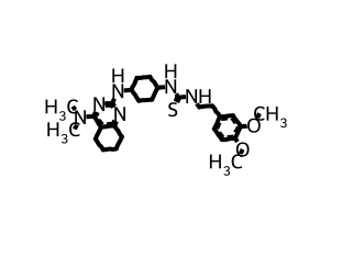 COc1ccc(CCNC(=S)NC2CCC(Nc3nc4c(c(N(C)C)n3)CCCC4)CC2)cc1OC